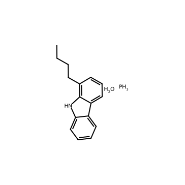 CCCCc1cccc2c1[nH]c1ccccc12.O.P